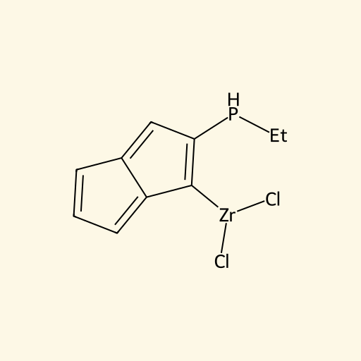 CCPC1=[C]([Zr]([Cl])[Cl])C2=CC=CC2=C1